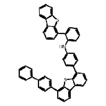 c1ccc(-c2ccc(-c3cccc4c3sc3c(-c5ccc(Nc6ccccc6-c6cccc7c6sc6ccccc67)cc5)cccc34)cc2)cc1